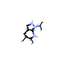 Cc1cc2cnn(C(C)C)c2nc1C